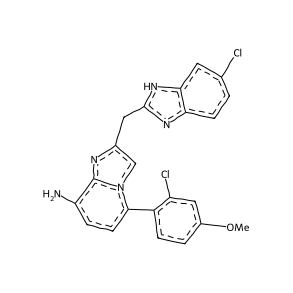 COc1ccc(-c2ccc(N)c3nc(Cc4nc5ccc(Cl)cc5[nH]4)cn23)c(Cl)c1